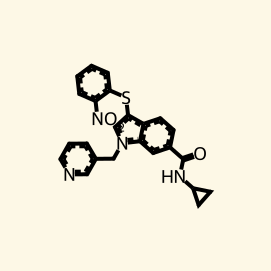 O=C(NC1CC1)c1ccc2c(Sc3ccccc3[N+](=O)[O-])cn(Cc3cccnc3)c2c1